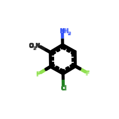 Nc1cc(F)c(Cl)c(F)c1[N+](=O)[O-]